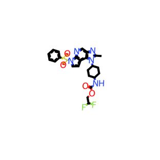 Cc1nc2cnc3c(ccn3S(=O)(=O)c3ccccc3)c2n1C1CCC(NC(=O)OCC(F)F)CC1